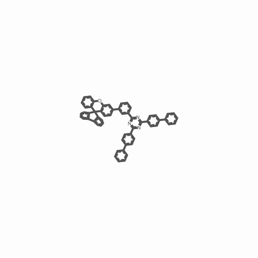 c1ccc(-c2ccc(-c3nc(-c4ccc(-c5ccccc5)cc4)nc(-c4cccc(-c5ccc6c(c5)Oc5ccccc5C65c6ccccc6-c6ccccc65)c4)n3)cc2)cc1